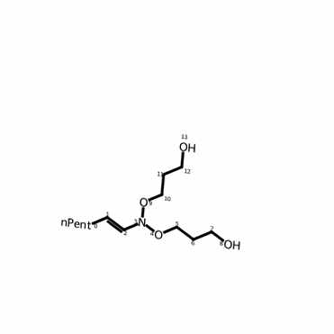 CCCCCC=CN(OCCCO)OCCCO